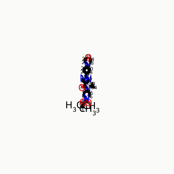 CC(C)(C)OC(=O)N1CCC(N(C(=O)c2cnc(-c3ccc(N4CCOCC4)cc3)nc2)C2CC2)CC1